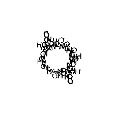 CN1CC(=O)N(C)[C@@H](C2CCCCC2)C(=O)NC[C@@H](NC(=O)c2nc3ccccc3cc2O)C(=O)N2CCCC[C@H]2C(=O)NCC(=O)N(C)CC(=O)N(C)[C@@H](C2CCCCC2)C(=O)NC[C@@H](NC(=O)c2nc3ccccc3cc2O)C(=O)N2CCCC[C@H]2C(=O)NCC1=O